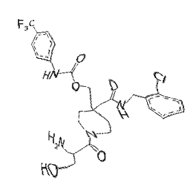 NC(CO)C(=O)N1CCC(COC(=O)Nc2ccc(C(F)(F)F)cc2)(C(=O)NCc2ccccc2Cl)CC1